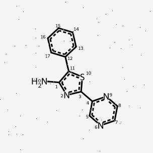 Nc1nc(-c2cnccn2)sc1-c1ccccc1